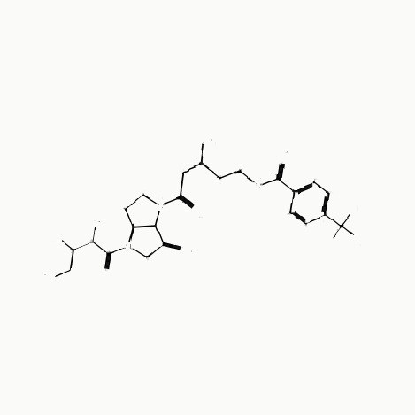 CCC(C)C(N)C(=O)N1CC(=O)C2C1CCN2C(=O)CC(C)CCNC(=O)c1ccc(C(C)(C)C)cc1